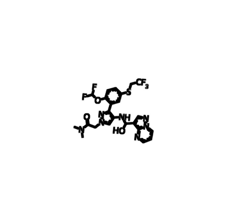 CN(C)C(=O)Cn1cc(NC(O)c2cnn3cccnc23)c(-c2cc(SCC(F)(F)F)ccc2OC(F)F)n1